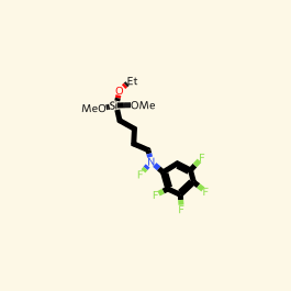 CCO[Si](CCCCN(F)c1cc(F)c(F)c(F)c1F)(OC)OC